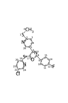 CSc1ccc(-c2nc(-c3ccc(F)cc3)oc2Sc2ccc(Cl)cn2)cn1